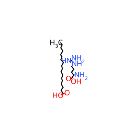 CCCCCCCCCCCCCCCCCC(=O)O.N=C(N)NCCCC(N)C(=O)O